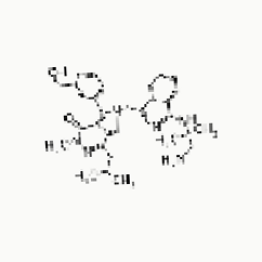 CC(C)Cc1nn(C)c(=O)c2c(-c3cccc(CO)c3)n(Cc3cnc(NC(C)(C)CN)c4ccccc34)cc12